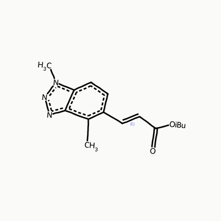 Cc1c(/C=C/C(=O)OCC(C)C)ccc2c1nnn2C